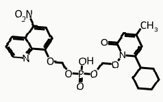 Cc1cc(C2CCCCC2)n(OCOP(=O)(O)OCOc2ccc([N+](=O)[O-])c3cccnc23)c(=O)c1